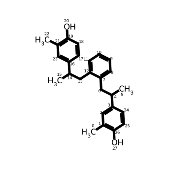 Cc1cc(C(C)Cc2ccccc2CC(C)c2ccc(O)c(C)c2)ccc1O